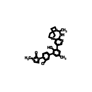 Cc1cc(-c2ccc(-n3ccn(C)c3=O)c(Cl)c2)c(O)c(-c2cnc3c(c2)N2CCC4(CCN4C(C)N3)C2)c1